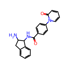 NC1Cc2ccccc2C1NC(=O)c1ccc(-n2ccccc2=O)cc1